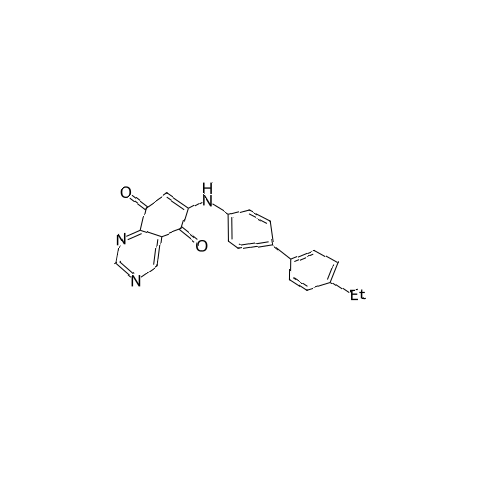 CCc1ccc(-c2ccc(NC3=CC(=O)c4ncncc4C3=O)cc2)cc1